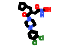 O=C(C[C@@H](CC1CCCC1)C(=O)N1CCN(c2ccc(Cl)c(Cl)c2)CC1)NO